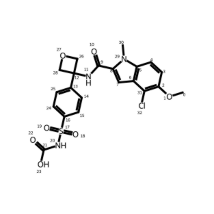 COc1ccc2c(cc(C(=O)NC3(c4ccc(S(=O)(=O)NC(=O)O)cc4)COC3)n2C)c1Cl